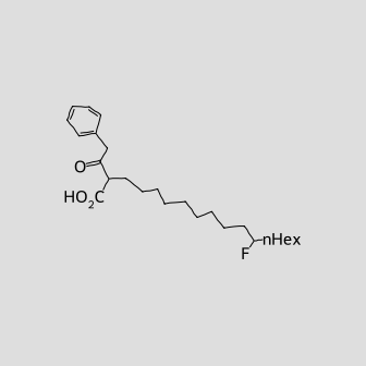 CCCCCCC(F)CCCCCCCCCC(C(=O)O)C(=O)Cc1ccccc1